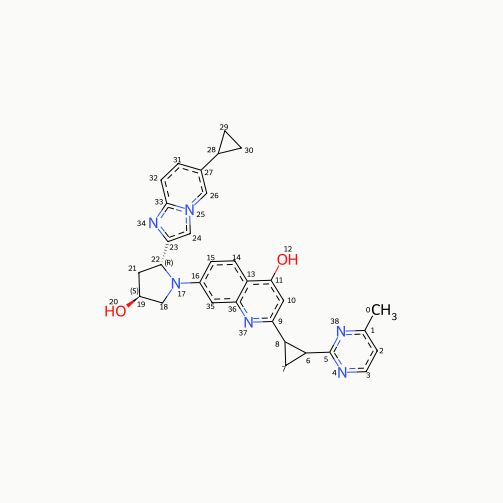 Cc1ccnc(C2CC2c2cc(O)c3ccc(N4C[C@@H](O)C[C@@H]4c4cn5cc(C6CC6)ccc5n4)cc3n2)n1